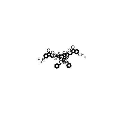 O=C1C(=O)c2ccc(C(F)(F)F)cc2/C1=C/c1nc2sc3c(c2s1)OC(C(=O)OCc1ccccc1)(C(=O)OCc1ccccc1)c1c-3sc2nc(/C=C3\C(=O)C(=O)c4ccc(C(F)(F)F)cc43)sc12